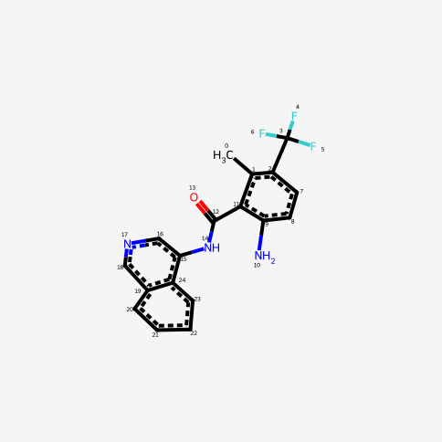 Cc1c(C(F)(F)F)ccc(N)c1C(=O)Nc1cncc2ccccc12